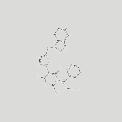 CCCCc1nc(O)c(-c2nnc(Cc3noc4ccccc34)o2)c(=O)n1[C@@H](COC)c1ccccc1